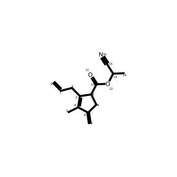 C=CCC1=C(C)C(=C)CC1C(=O)OC(C)C#N